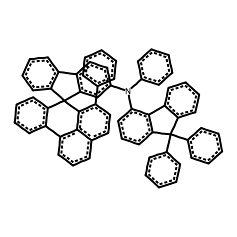 c1ccc(-c2ccc3cccc4c3c2C2(c3ccccc3-c3ccc(N(c5ccccc5)c5cccc6c5-c5ccccc5C6(c5ccccc5)c5ccccc5)cc32)c2ccccc2-4)cc1